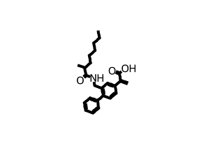 C=C(C(=O)O)c1ccc(-c2ccccc2)c(CNC(=O)C(C)CCCCCC)c1